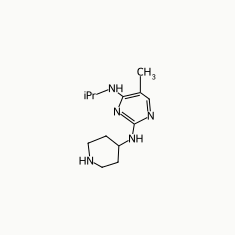 Cc1cnc(NC2CCNCC2)nc1NC(C)C